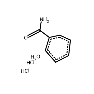 Cl.Cl.NC(=O)c1ccccc1.O